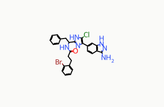 Nc1n[nH]c2cc(-c3nc(C(Cc4ccccc4)NC(=O)CCc4ccccc4Br)[nH]c3Cl)ccc12